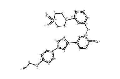 O=c1ccc(-c2cc(-c3ccc(OCF)cc3)no2)cn1Cc1cccc(N2CCS(=O)(=O)CC2)c1